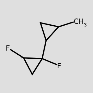 CC1CC1C1(F)C[C]1F